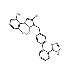 CCCc1cn(-c2c(C)cccc2C(=O)O)c(=O)n1Cc1ccc(-c2ccccc2-c2nnn[nH]2)nc1